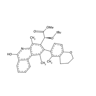 COC(=O)[C@@H](OC(C)(C)C)c1c(-c2ccc3c(c2C)CCCO3)c(C)c2c(nc(O)c3ccccc32)c1C